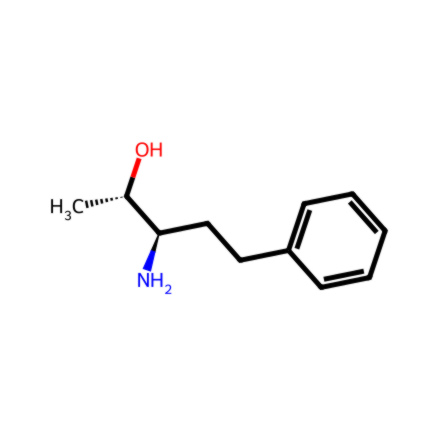 C[C@H](O)[C@H](N)CCc1ccccc1